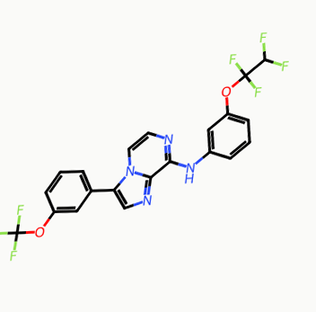 FC(F)C(F)(F)Oc1cccc(Nc2nccn3c(-c4cccc(OC(F)(F)F)c4)cnc23)c1